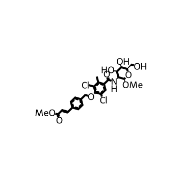 COC(=O)/C=C/c1ccc(COc2c(Cl)cc(C(=O)N[C@H]3[C@@H](OC)O[C@H](CO)[C@@H](O)[C@@H]3O)c(C)c2Cl)cc1